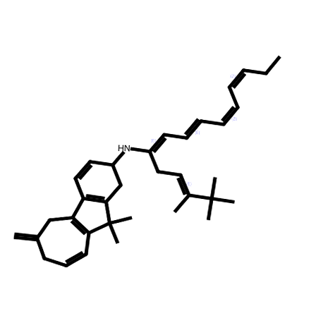 C=C1CC=CC2=C(C1)C1=C(CC(N/C(=C/C=C/C=C\C=C/CC)C/C=C(\C)C(C)(C)C)C=C1)C2(C)C